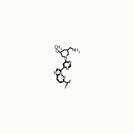 COC1CC(CN)CN(c2cc(-c3cnc4ccc(C(F)F)nn34)ncn2)C1